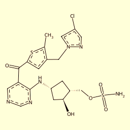 Cc1sc(C(=O)c2cncnc2N[C@@H]2C[C@H](COS(N)(=O)=O)[C@@H](O)C2)cc1Cn1cc(Cl)cn1